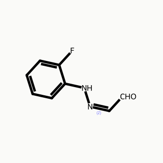 O=C/C=N\Nc1ccccc1F